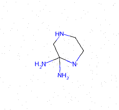 NC1(N)CNCC[N]1